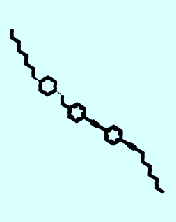 CCCCCCCC#Cc1ccc(C#Cc2ccc(CC[C@H]3CC[C@H](CCCCCCCC)CC3)cc2)cc1